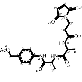 CC(=O)OCc1ccc(NC(=O)[C@H](C)NC(=O)[C@H](C)NC(=O)CCN2C(=O)C=CC2=O)cc1